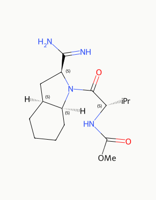 COC(=O)N[C@H](C(=O)N1[C@H](C(=N)N)C[C@@H]2CCCC[C@@H]21)C(C)C